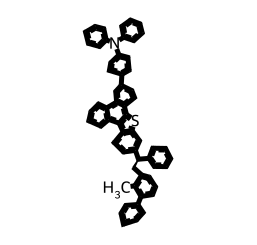 Cc1c(C[C@H](c2ccccc2)c2ccc3c(c2)sc2c4ccc(-c5ccc(N(c6ccccc6)c6ccccc6)cc5)cc4c4ccccc4c32)cccc1-c1ccccc1